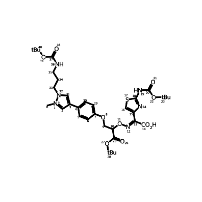 C[n+]1cc(-c2ccc(OCC(ON=C(C(=O)O)c3csc(NC(=O)OC(C)(C)C)n3)C(=O)OC(C)(C)C)cc2)cn1CCCNC(=O)OC(C)(C)C